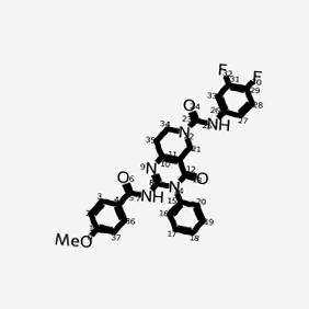 COc1ccc(C(=O)Nc2nc3c(c(=O)n2-c2ccccc2)CN(C(=O)Nc2ccc(F)c(F)c2)CC3)cc1